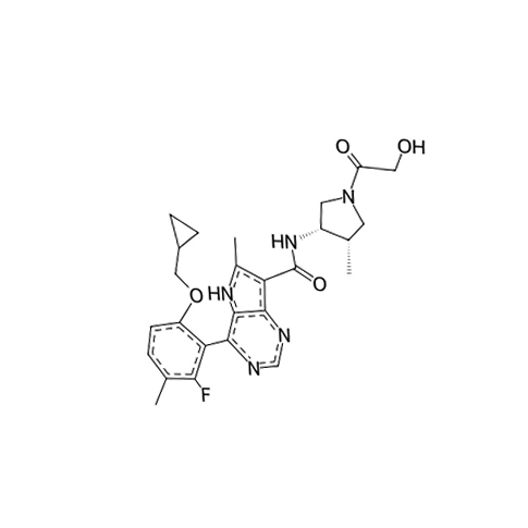 Cc1ccc(OCC2CC2)c(-c2ncnc3c(C(=O)N[C@@H]4CN(C(=O)CO)C[C@@H]4C)c(C)[nH]c23)c1F